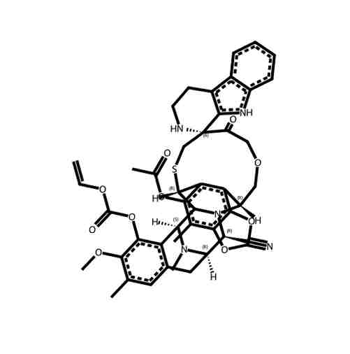 C=COC(=O)Oc1c(OC)c(C)cc2c1[C@H]1C3[C@@H]4SC[C@]5(NCCc6c5[nH]c5ccccc65)C(=O)COC[C@@H](c5c6c(c(C)c(OC(C)=O)c54)OCO6)N3[C@@H](C#N)[C@@H](C2)N1C